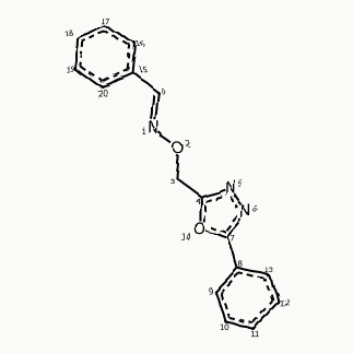 C(=NOCc1nnc(-c2ccccc2)o1)c1ccccc1